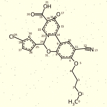 COCCCOc1cc2c(cc1C#N)-c1cc(=O)c(C(=O)O)cn1C(c1ccc(Cl)s1)O2